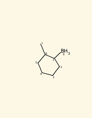 BC1CCCCC1C